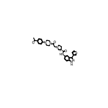 CC(=O)c1ccc(N2CCN(C(=O)CN3CC[C@@H](C(=O)Nc4ccc5[nH]nc(-c6ccsc6)c5c4)C3)CC2)cc1